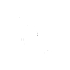 O=C1CCC/C=C\C[C@@H]2[C@@H](/C=C/[C@@H](O)CCc3ccccc3)[C@H](OPI)C[C@@H]2O1